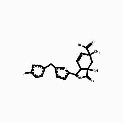 CC1(C(=O)O)C=CC(C(=O)c2ccc(Cc3ccc(F)cc3)o2)C(O)(C(=O)O)C1